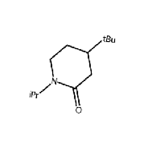 CC(C)N1CCC(C(C)(C)C)CC1=O